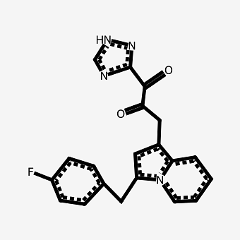 O=C(Cc1cc(Cc2ccc(F)cc2)n2ccccc12)C(=O)c1nc[nH]n1